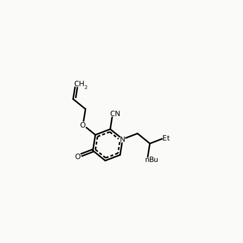 C=CCOc1c(C#N)n(CC(CC)CCCC)ccc1=O